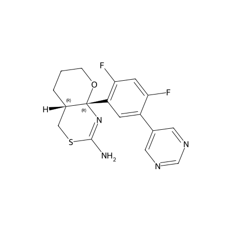 NC1=N[C@@]2(c3cc(-c4cncnc4)c(F)cc3F)OCCC[C@H]2CS1